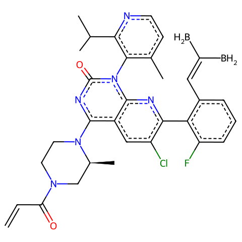 BC(B)=Cc1cccc(F)c1-c1nc2c(cc1Cl)c(N1CCN(C(=O)C=C)C[C@@H]1C)nc(=O)n2-c1c(C)ccnc1C(C)C